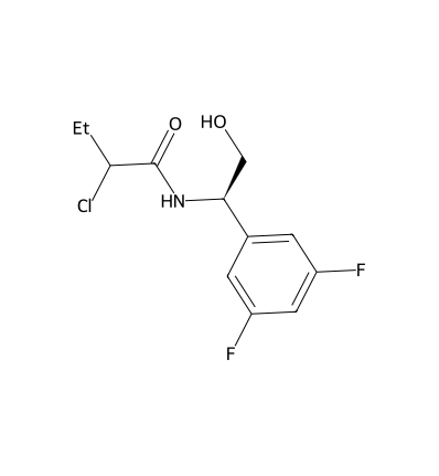 CCC(Cl)C(=O)N[C@@H](CO)c1cc(F)cc(F)c1